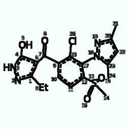 CCc1n[nH]c(O)c1C(=O)c1ccc(S(C)(=O)=O)c(-n2nc(C)cc2C)c1Cl